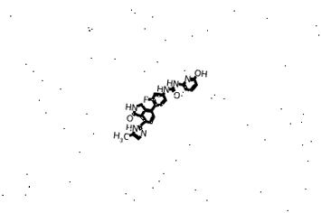 Cc1cnc(-c2ccc(-c3ccc(NC(=O)Nc4cccc(O)n4)cc3F)c3c2C(=O)NC3)[nH]1